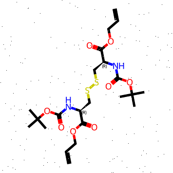 C=CCOC(=O)[C@H](CSSC[C@H](NC(=O)OC(C)(C)C)C(=O)OCC=C)NC(=O)OC(C)(C)C